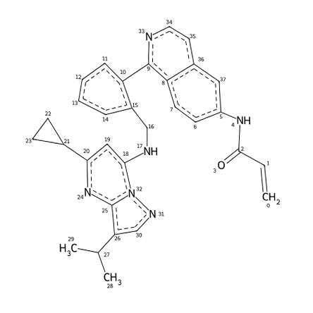 C=CC(=O)Nc1ccc2c(-c3ccccc3CNc3cc(C4CC4)nc4c(C(C)C)cnn34)nccc2c1